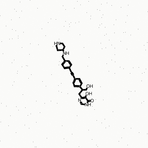 O=c1[nH]cnc(CC(CO)c2ccc(C#Cc3ccc(CNC4CCNCC4)cc3)cc2)c1O